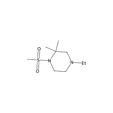 CCN1CCN(S(C)(=O)=O)C(C)(C)C1